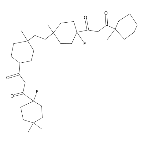 CC1(C)CCC(F)(C(=O)CC(=O)C2CCC(C)(CCC3(C)CCC(F)(C(=O)CC(=O)C4(C)CCCCC4)CC3)CC2)CC1